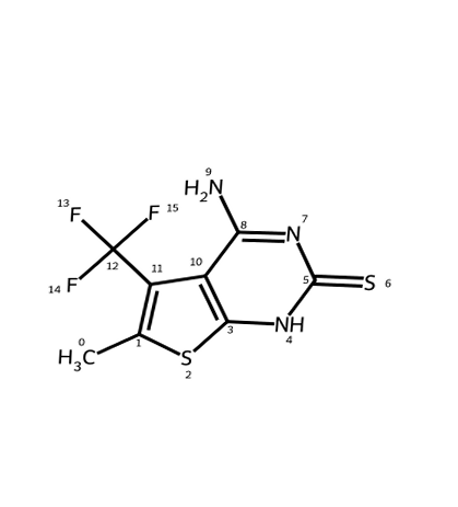 Cc1sc2[nH]c(=S)nc(N)c2c1C(F)(F)F